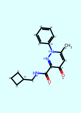 Cc1cc(=O)c(C(=O)NCC2CCC2)nn1-c1ccccc1